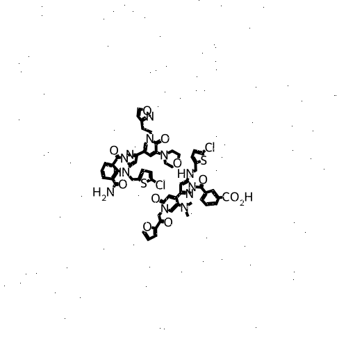 CN(C)c1cn(CC(=O)c2ccco2)c(=O)cc1-c1cc(NCc2ccc(Cl)s2)n(C(=O)c2cccc(C(=O)O)c2)n1.NC(=O)c1cccc(C(=O)n2nc(-c3cc(N4CCOCC4)c(=O)n(CCc4ccon4)c3)cc2NCc2ccc(Cl)s2)c1